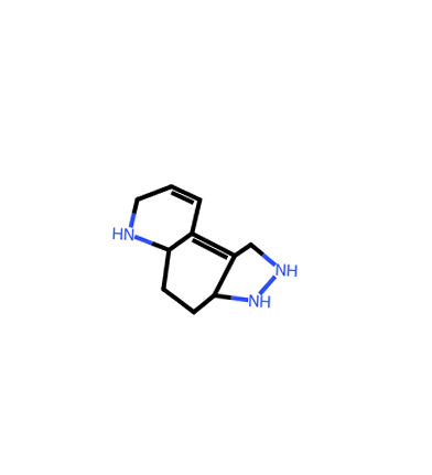 C1=CC2=C3CNNC3CCC2NC1